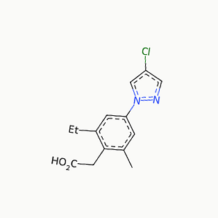 CCc1cc(-n2cc(Cl)cn2)cc(C)c1CC(=O)O